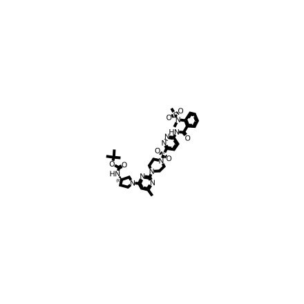 Cc1cc(N2CC[C@@H](NC(=O)OC(C)(C)C)C2)nc(N2CCN(S(=O)(=O)c3ccc(NC(=O)c4ccccc4N(C)S(C)(=O)=O)nn3)CC2)n1